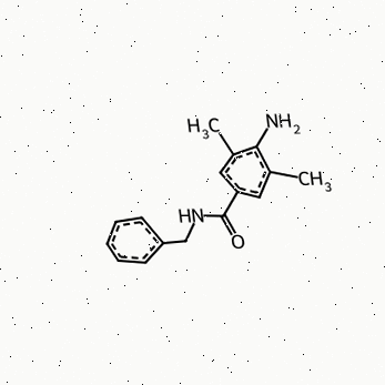 Cc1cc(C(=O)NCc2ccccc2)cc(C)c1N